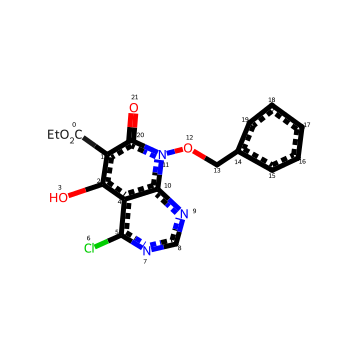 CCOC(=O)c1c(O)c2c(Cl)ncnc2n(OCc2ccccc2)c1=O